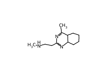 CNCCC1=NC2CCCCC2C(C)=N1